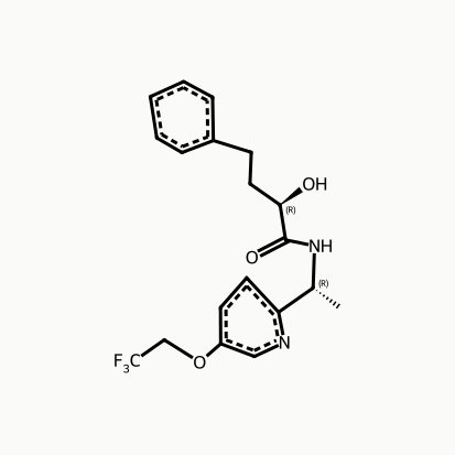 C[C@@H](NC(=O)[C@H](O)CCc1ccccc1)c1ccc(OCC(F)(F)F)cn1